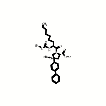 C=CCCCCC[C@H](NC(=O)OC(C)(C)C)C(=O)N1C[C@](SCCCC)(C2C=CC(c3ccccc3)=CC2)C[C@H]1C(=O)OC